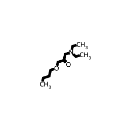 CCCCOCC(=O)CN(CC)CC